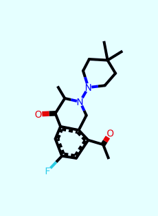 CC(=O)c1cc(F)cc2c1CN(N1CCC(C)(C)CC1)C(C)C2=O